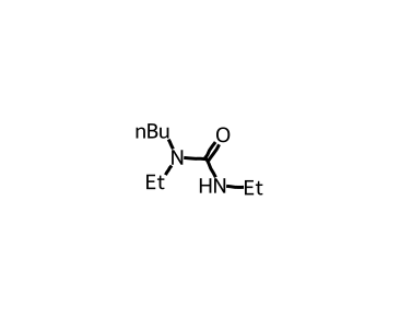 CCCCN(CC)C(=O)NCC